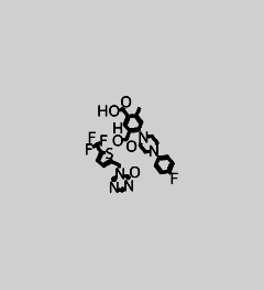 Cc1cc(N2CCN(c3ccc(F)cc3)CC2)c(C(=O)O)cc1C(=O)O.O=c1ncncn1Cc1ccc(C(F)(F)F)s1